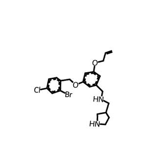 C=CCOc1cc(CNCC2CCNC2)cc(OCc2ccc(Cl)cc2Br)c1